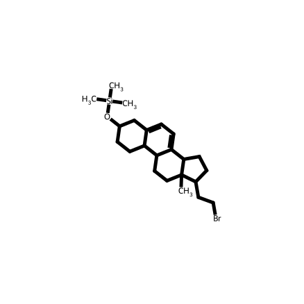 CC12CCC3C(=CC=C4CC(O[Si](C)(C)C)CCC43)C1CCC2CCBr